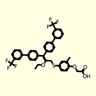 CCOC(CSc1ccc(OCC(=O)O)c(C)c1)=C(c1ccc(-c2cccc(C(F)(F)F)c2)cc1)c1ccc(-c2cccc(C(F)(F)F)c2)cc1